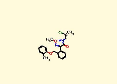 CON=C(C(=O)NC[C@@H](C)Cl)c1ccccc1COc1ccccc1C